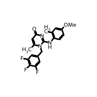 COc1ccc(Nc2nc(=O)cc(C)n2Cc2cc(F)c(F)c(F)c2)c(C)c1